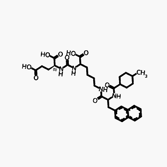 CC1CCC(C(=O)NC(Cc2ccc3ccccc3c2)C(=O)NCCCCC(NC(=O)N[C@@H](CCC(=O)O)C(=O)O)C(=O)O)CC1